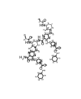 C=CC(=O)NC1CCC[C@@H](N(C)c2cnc(C(=O)NC3CC(NC(=O)C=C)[C@H](C)[C@H](N(C)c4nnc(C(N)=O)c(Nc5cnn(C(=O)OCc6ccccc6)c5)n4)C3)c(Cc3cnn(C(=O)OCc4ccccc4)c3)n2)[C@H]1C